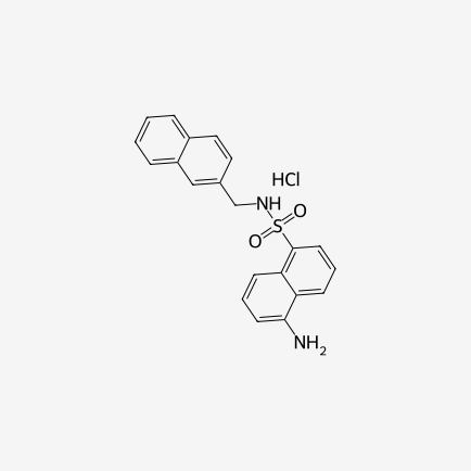 Cl.Nc1cccc2c(S(=O)(=O)NCc3ccc4ccccc4c3)cccc12